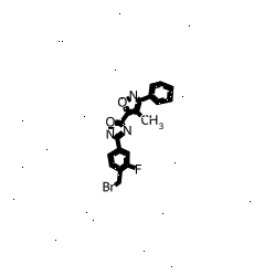 Cc1c(-c2ccccc2)noc1-c1nc(-c2ccc(CBr)c(F)c2)no1